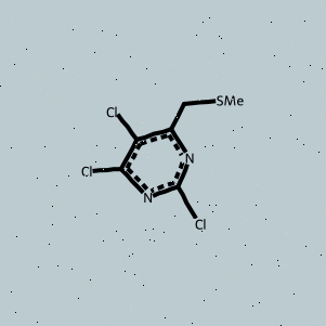 CSCc1nc(Cl)nc(Cl)c1Cl